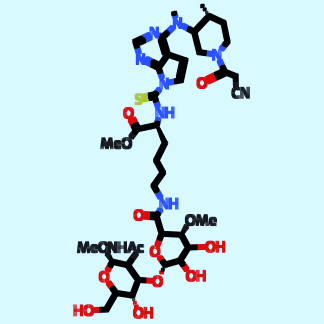 COC(=O)[C@H](CCCCNC(=O)C1O[C@@H](OC2C(NC(C)=O)[C@H](OC)OC(CO)[C@H]2O)C(O)C(O)[C@@H]1OC)NC(=S)n1ccc2c(N(C)C3CN(C(=O)CC#N)CC[C@H]3C)ncnc21